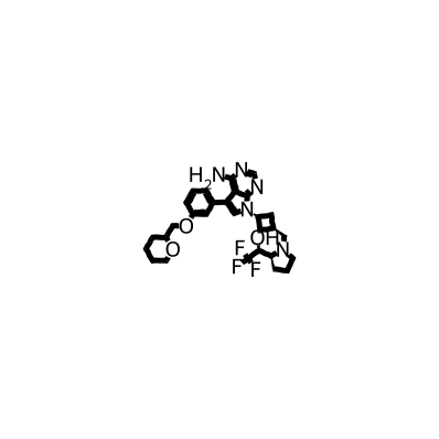 Nc1ncnc2c1c(-c1cccc(OCC3CCCCO3)c1)cn2[C@H]1C[C@H](CN2CCC[C@H]2[C@H](O)C(F)(F)F)C1